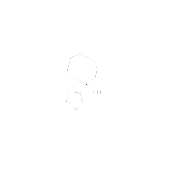 CC1(C2=CC=C[P]2)CCCCCCC1